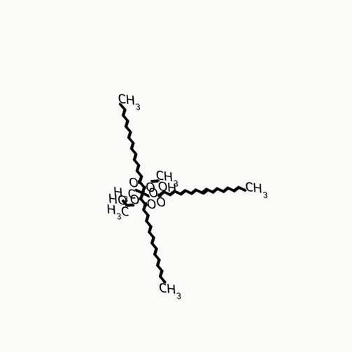 CCCCCCCCC=CCCCCCCCC(=O)OCC(CC)(C(OCC(C)O)C(=O)CCCCCCCCCCCCCCC)C(OCC(C)O)C(=O)CCCCCCCCCCCCCCC